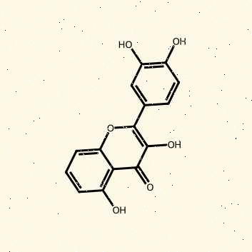 O=c1c(O)c(-c2ccc(O)c(O)c2)oc2cccc(O)c12